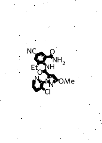 CCc1cc(C#N)cc(C(N)=O)c1NC(=O)c1cc(OC)nn1-c1ncccc1Cl